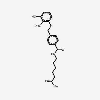 CC(C)(C)C(=O)CCCCCNC(=O)c1ccc(COc2cccc(O)c2C=O)cc1